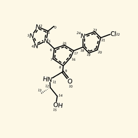 Cc1nnnn1-c1cc(C(=O)N[C@@H](C)CO)cc(-c2ccc(Cl)cn2)c1